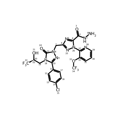 NNC(=O)c1nc(Cn2nc(-c3ccc(Cl)cc3)n(C[C@H](O)C(F)(F)F)c2=O)nn1-c1ncccc1OC(F)(F)F